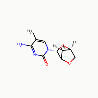 CC[C@@]12COC([C@H](n3cc(C)c(N)nc3=O)O1)[C@H]2C